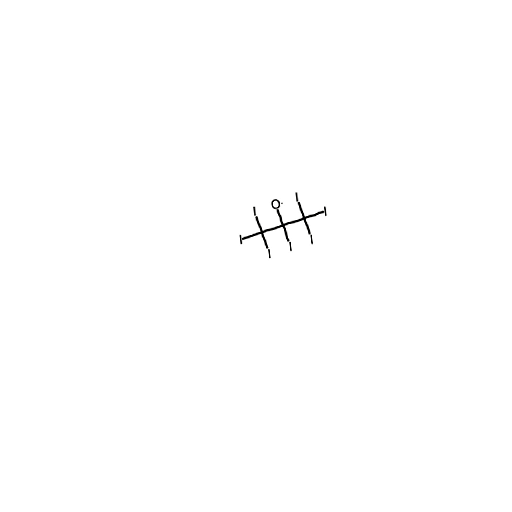 [O]C(I)(C(I)(I)I)C(I)(I)I